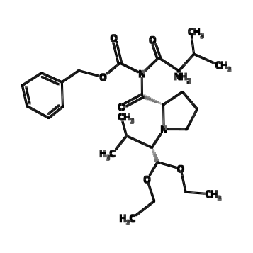 CCOC(OCC)[C@H](C(C)C)N1CCC[C@H]1C(=O)N(C(=O)OCc1ccccc1)C(=O)[C@@H](N)C(C)C